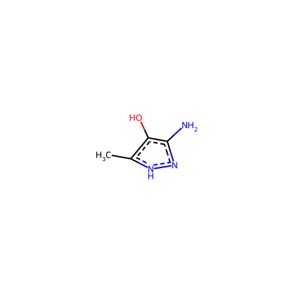 Cc1[nH]nc(N)c1O